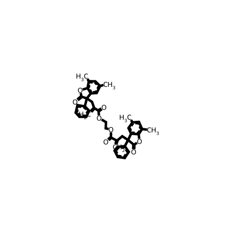 C=C(CC1(c2ccccc2)C(=O)Oc2c(C)cc(C)cc21)C(=O)OCCOC(=O)C(=C)CC1(c2ccccc2)C(=O)Oc2c(C)cc(C)cc21